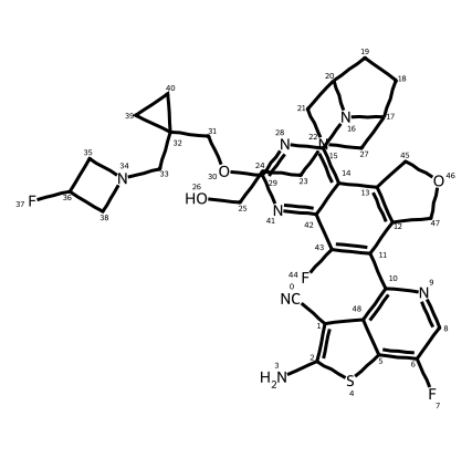 N#Cc1c(N)sc2c(F)cnc(-c3c4c(c5c(N6C7CCC6CN(CCCO)C7)nc(OCC6(CN7CC(F)C7)CC6)nc5c3F)COC4)c12